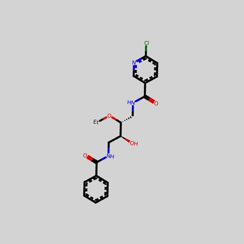 CCO[C@H](CNC(=O)c1ccc(Cl)nc1)[C@@H](O)CNC(=O)c1ccccc1